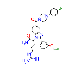 N=C(N)NCCC[C@@H](C(N)=O)n1c(-c2cccc(OCF)c2)nc2cc(C(=O)N3CCN(c4ccc(F)cc4)CC3)ccc21